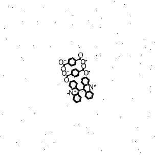 COC(=O)c1ccc(C(=O)[O-])cc1.COC(=O)c1ccc(C(=O)[O-])cc1.C[n+]1c2ccccc2c(-c2c3ccccc3[n+](C)c3ccccc23)c2ccccc21